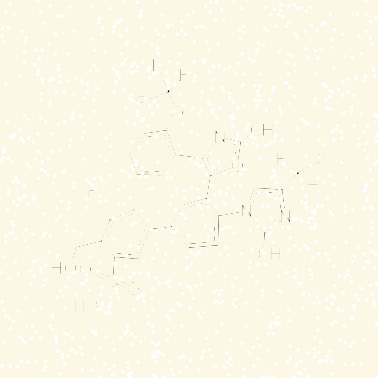 Cc1nc(-c2ccccc2OC(F)(F)F)c(-c2cc(-c3cc(F)c(CO)c(S(C)(=O)=O)c3)ccc2-n2cc(C(F)(F)F)nc2C)o1